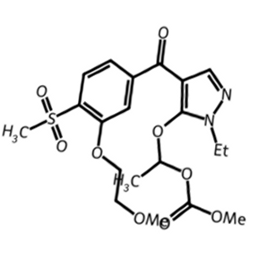 CCn1ncc(C(=O)c2ccc(S(C)(=O)=O)c(OCCOC)c2)c1OC(C)OC(=O)OC